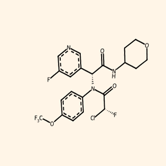 O=C(NC1CCOCC1)[C@@H](c1cncc(F)c1)N(C(=O)[C@H](F)Cl)c1ccc(OC(F)(F)F)cc1